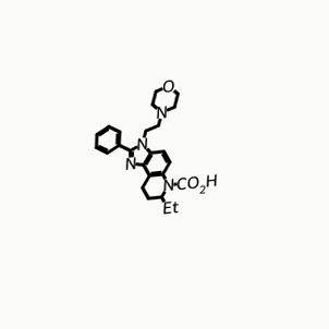 CCC1CCc2c(ccc3c2nc(-c2ccccc2)n3CCN2CCOCC2)N1C(=O)O